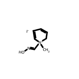 C[N+]1(C=NO)C=CC=CC1.[I-]